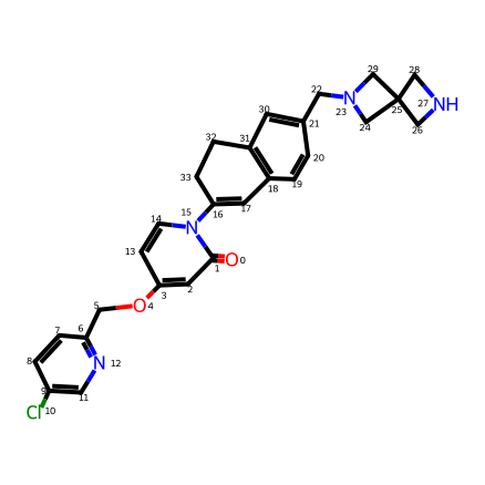 O=c1cc(OCc2ccc(Cl)cn2)ccn1C1=Cc2ccc(CN3CC4(CNC4)C3)cc2CC1